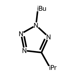 CCC(C)n1nnc(C(C)C)n1